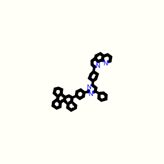 c1ccc(-c2cc(-c3ccc(-c4ccc5ccc6cccnc6c5n4)cc3)nc(-c3ccc(-c4cc5c6ccccc6c6ccccc6c5c5ccccc45)cc3)n2)cc1